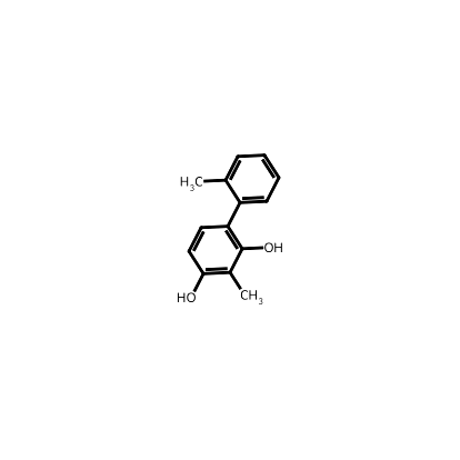 Cc1ccccc1-c1ccc(O)c(C)c1O